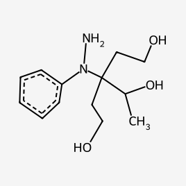 CC(O)C(CCO)(CCO)N(N)c1ccccc1